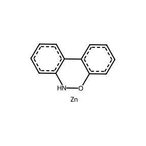 [Zn].c1ccc2c(c1)NOc1ccccc1-2